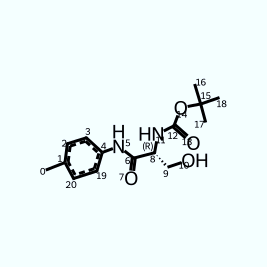 Cc1ccc(NC(=O)[C@@H](CO)NC(=O)OC(C)(C)C)cc1